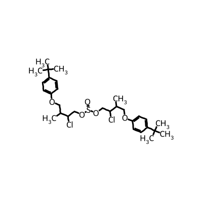 CC(COc1ccc(C(C)(C)C)cc1)C(Cl)COS(=O)OCC(Cl)C(C)COc1ccc(C(C)(C)C)cc1